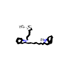 CCN1\C(=C/C=C/C=C/C=C/C2=[N+](CCCCCC(=O)O)c3ccccc3C2)Cc2ccccc21